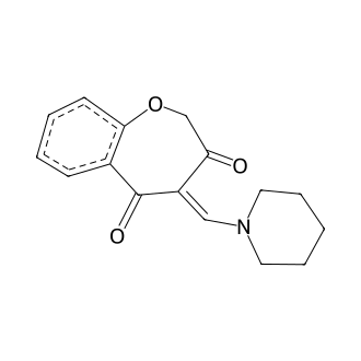 O=C1COc2ccccc2C(=O)/C1=C/N1CCCCC1